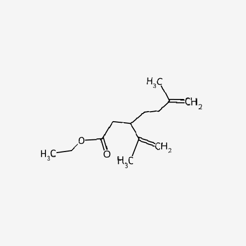 C=C(C)CCC(CC(=O)OCC)C(=C)C